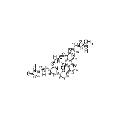 COc1nc(-c2cccc(-c3ccnc(-c4cc(OC)c5nc(CN6CC(C)(O)C6)cn5c4)c3Cl)c2Cl)ccc1CNC[C@@H]1CCC(=O)N1